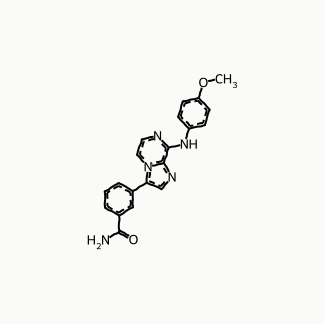 COc1ccc(Nc2nccn3c(-c4cccc(C(N)=O)c4)cnc23)cc1